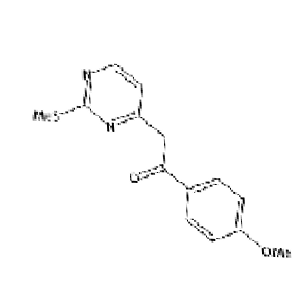 COc1ccc(C(=O)Cc2ccnc(SC)n2)cc1